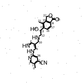 Cc1cnc(N/C=C(\C=N)CNC[C@H](O)c2ccc3c(c2C)COC3=O)cc1C#N